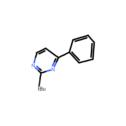 CC(C)(C)c1n[c]cc(-c2ccccc2)n1